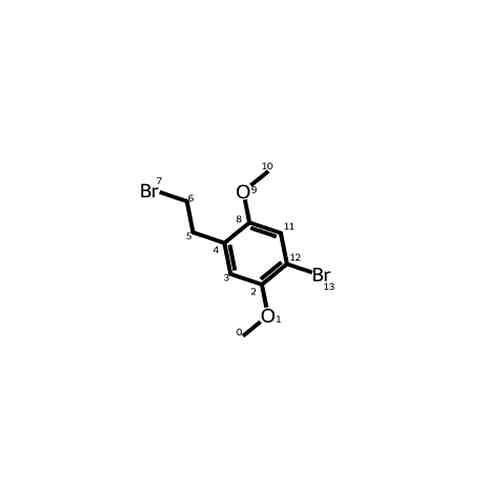 COc1cc(CCBr)c(OC)cc1Br